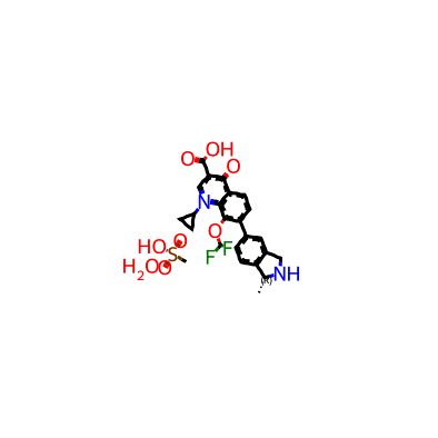 CS(=O)(=O)O.C[C@H]1NCc2cc(-c3ccc4c(=O)c(C(=O)O)cn(C5CC5)c4c3OC(F)F)ccc21.O